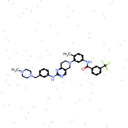 Cc1ccc(NC(=O)c2cccc(C(F)(F)F)c2)cc1N1CCc2nc(Nc3cccc(CN4CCN(C)CC4)c3)ncc2C1